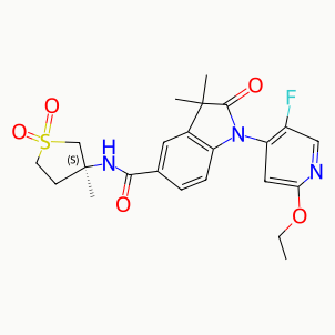 CCOc1cc(N2C(=O)C(C)(C)c3cc(C(=O)N[C@@]4(C)CCS(=O)(=O)C4)ccc32)c(F)cn1